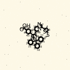 CSc1ccc(-c2cnc3ccc(-c4cn(C(c5ccccc5)(c5ccccc5)c5ccccc5)nc4-c4ccc(C(=O)O)cc4)cn23)s1